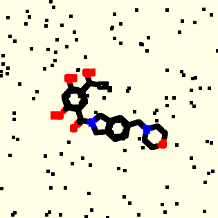 CC(O)c1cc(C(=O)N2Cc3ccc(CN4CCOCC4)cc3C2)c(O)cc1O